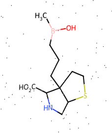 CB(O)CCCC12CCSC1CNC2C(=O)O